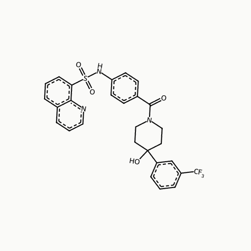 O=C(c1ccc(NS(=O)(=O)c2cccc3cccnc23)cc1)N1CCC(O)(c2cccc(C(F)(F)F)c2)CC1